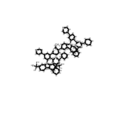 Cc1cc(-c2cc(-c3ccncc3)cc(-n3c4cc(C(F)(F)F)ccc4c4ccc(C(F)(F)F)cc43)c2-c2nc(-c3ccccc3)nc(-c3ccccc3)n2)ccc1-c1ccc2c(c1)c1ccccc1n2-c1cc(-c2ccncc2)ccc1-c1nc(-c2ccccc2)nc(-c2ccccc2)n1